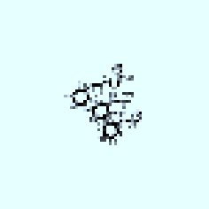 CC(=O)OCC=Cc1ccccc1.O=CCc1ccccc1.O=CCc1ccccc1